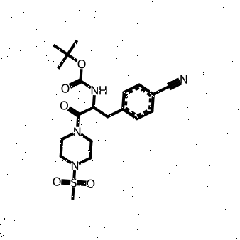 CC(C)(C)OC(=O)NC(Cc1ccc(C#N)cc1)C(=O)N1CCN(S(C)(=O)=O)CC1